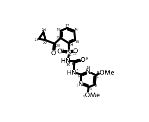 COc1cc(OC)nc(NC(=O)NS(=O)(=O)c2ccccc2C(=O)C2CC2)n1